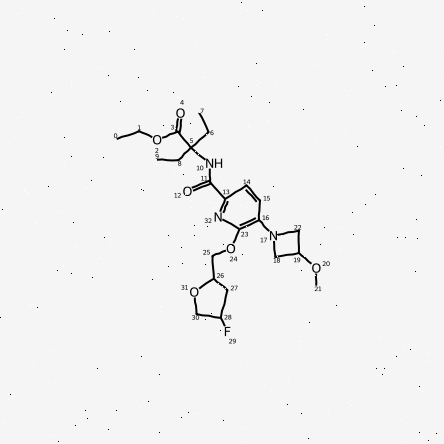 CCOC(=O)C(CC)(CC)NC(=O)c1ccc(N2CC(OC)C2)c(OCC2CC(F)CO2)n1